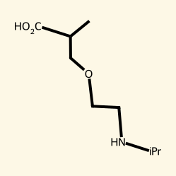 CC(C)NCCOCC(C)C(=O)O